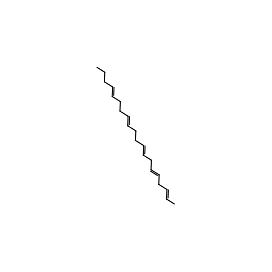 CC=CCC=CCC=CCCC=CCCC=CCCC